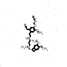 COc1cc2c(cc1OC)[C@@H](CN(C)CCCNCCc1cc(OC)c(OCN=[N+]=[N-])cc1CC#N)C2